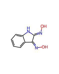 ON=C1Nc2ccccc2C1=NO